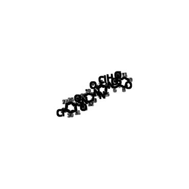 O=c1c(Cl)c(NCC2COCCS2(=O)=O)cnn1C1CCN(S(=O)(=O)c2ccc(Cl)cc2)CC1